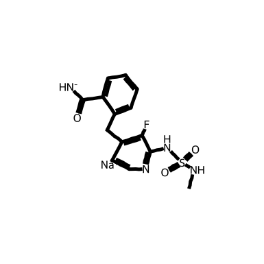 CNS(=O)(=O)Nc1nccc(Cc2ccccc2C([NH-])=O)c1F.[Na+]